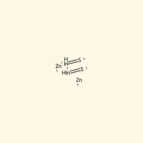 [S]=[InH].[S]=[InH].[Zn].[Zn]